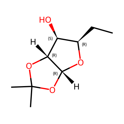 CC[C@H]1O[C@@H]2OC(C)(C)O[C@@H]2[C@H]1O